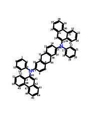 c1ccc(N(c2ccc3c(c2)Cc2ccc(N(c4ccccc4)c4cc5ccccc5c5ccccc45)cc2C3)c2cc3ccccc3c3ccccc23)cc1